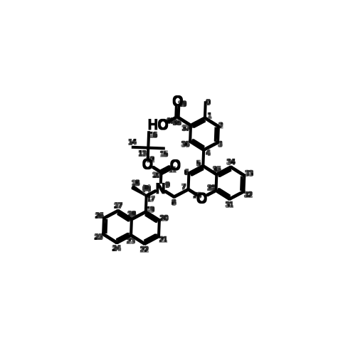 Cc1ccc(C2=CC(CN(C(=O)OC(C)(C)C)[C@H](C)c3cccc4ccccc34)Oc3ccccc32)cc1C(=O)O